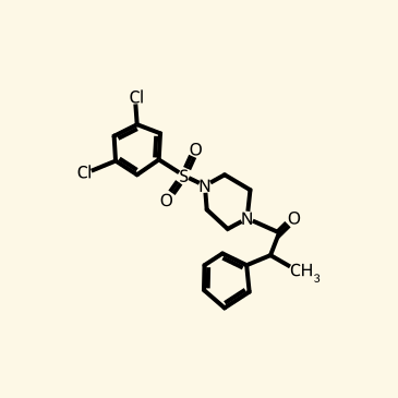 CC(C(=O)N1CCN(S(=O)(=O)c2cc(Cl)cc(Cl)c2)CC1)c1ccccc1